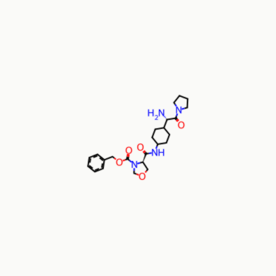 N[C@H](C(=O)N1CCCC1)C1CCC(NC(=O)[C@H]2COCN2C(=O)OCc2ccccc2)CC1